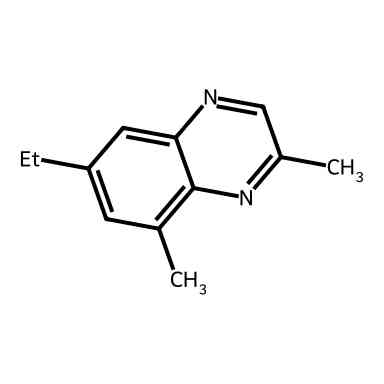 CCc1cc(C)c2nc(C)cnc2c1